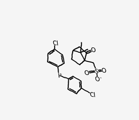 CC1(C)C2CCC1(CS(=O)(=O)[O-])C(=O)C2.Clc1ccc([I+]c2ccc(Cl)cc2)cc1